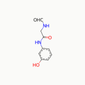 O=CNCC(=O)Nc1cccc(O)c1